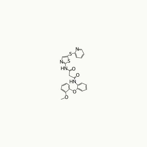 COc1ccccc1Oc1ccccc1NC(=O)CC(=O)Nc1ncc(Sc2ccccn2)s1